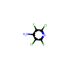 Nc1c(F)c(Cl)nc(F)c1Cl